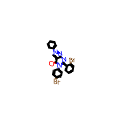 O=c1c2cn(-c3ccccc3)nc2nc(-c2ccccc2Br)n1-c1ccc(Br)cc1